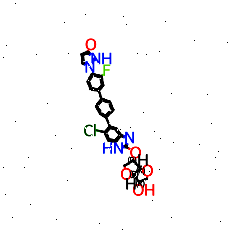 O=c1ccn(-c2ccc(-c3ccc(-c4cc5nc(O[C@@H]6CO[C@H]7[C@@H]6OC[C@H]7O)[nH]c5cc4Cl)cc3)cc2F)[nH]1